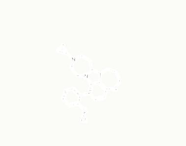 CCOc1ccccc1-c1ccc2c3c1N1CCN(C4CC4)CCC1C3CCCS2